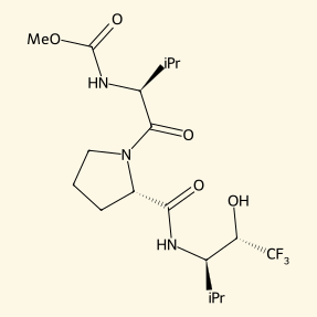 COC(=O)N[C@H](C(=O)N1CCC[C@H]1C(=O)N[C@H](C(C)C)[C@H](O)C(F)(F)F)C(C)C